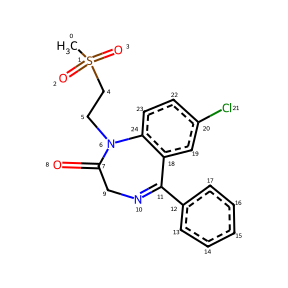 CS(=O)(=O)CCN1C(=O)CN=C(c2ccccc2)c2cc(Cl)ccc21